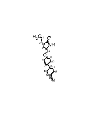 C=CC[C@H]1C[C@@H](COc2ccc(-c3ccc(C#N)cc3)cc2)NC1=O